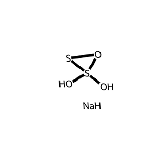 OS1(O)OS1.[NaH]